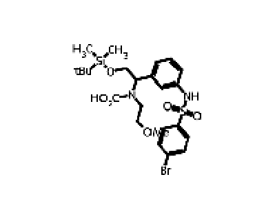 COCCN(C(=O)O)C(CO[Si](C)(C)C(C)(C)C)c1cccc(NS(=O)(=O)c2ccc(Br)cc2)c1